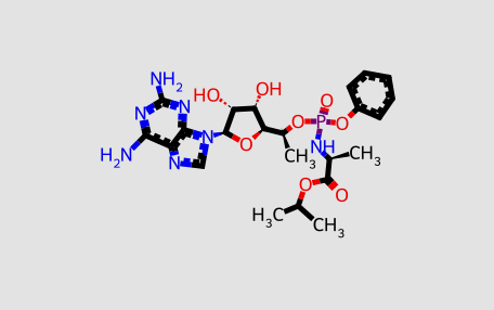 CC(C)OC(=O)[C@H](C)NP(=O)(Oc1ccccc1)O[C@@H](C)[C@H]1O[C@@H](n2cnc3c(N)nc(N)nc32)[C@H](O)[C@@H]1O